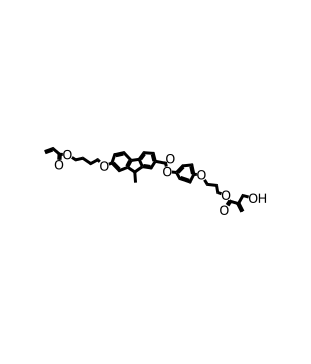 C=CC(=O)OCCCCOc1ccc2c(c1)C(C)c1cc(C(=O)Oc3ccc(OCCCOC(=O)C(=C)CO)cc3)ccc1-2